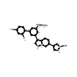 CCCn1cc(-c2ccc3c(-c4cc(NSC)cc(-c5ccc(F)cc5F)c4)cnn3c2)cn1